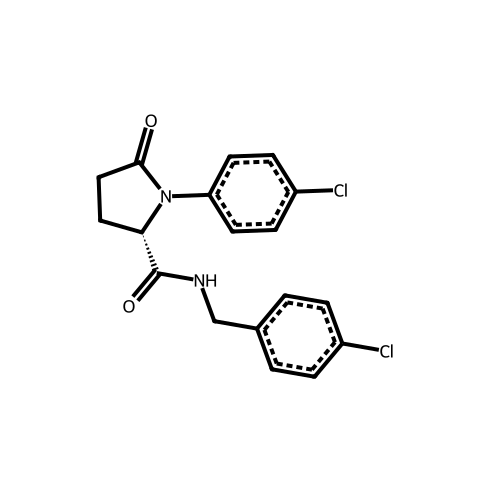 O=C(NCc1ccc(Cl)cc1)[C@@H]1CCC(=O)N1c1ccc(Cl)cc1